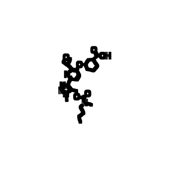 CCCCN(C)C(=O)OCc1c(-c2ccc(O[C@H]3CCC[C@H](C(=O)O)C3)c(C3COC3)n2)nnn1C